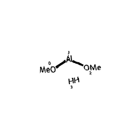 C[O][Al][O]C.[HH]